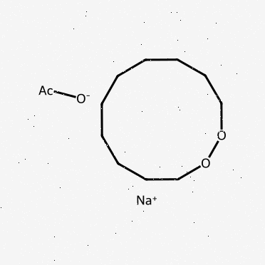 C1CCCCCOOCCCC1.CC(=O)[O-].[Na+]